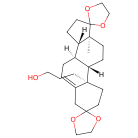 C[C@]12CC[C@H]3[C@@H](CC=C4CC5(CC[C@@]43CCCO)OCCO5)[C@@H]1CCC21OCCO1